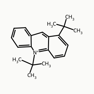 CC(C)(C)c1cccc2c1cc1ccccc1[n+]2C(C)(C)C